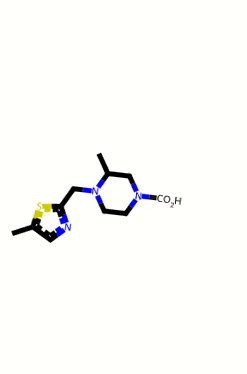 Cc1cnc(CN2CCN(C(=O)O)CC2C)s1